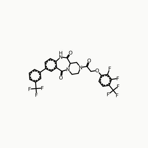 O=C1Nc2ccc(-c3cccc(C(F)(F)F)c3)cc2C(=O)N2CCN(C(=O)COc3ccc(C(F)(F)F)c(F)c3F)CC12